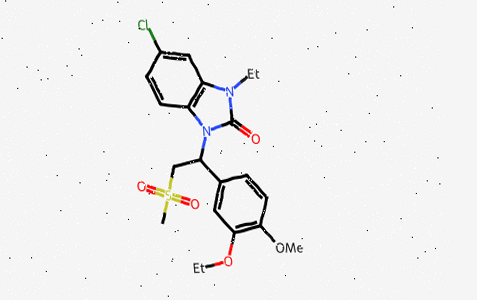 CCOc1cc(C(CS(C)(=O)=O)n2c(=O)n(CC)c3cc(Cl)ccc32)ccc1OC